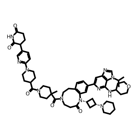 CC(C)n1cnc2cc(-c3ccc4c(c3)N([C@H]3C[C@@H](N5CCCCC5)C3)C(=O)CCN(C(=O)C3(C)CCN(C(=O)C5CCN(c6ccc(C7CCC(=O)NC7=O)cn6)CC5)CC3)CC4)nc(NC3CCOCC3)c21